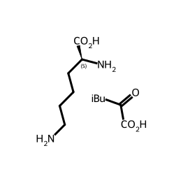 CCC(C)C(=O)C(=O)O.NCCCC[C@H](N)C(=O)O